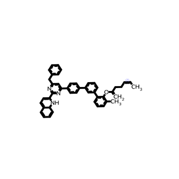 C=C(CC/C=C\C)Oc1c(C)cccc1-c1cccc(-c2ccc(-c3cc(Cc4ccccc4)nc(C4=CC=C5C=CC=CC5N4)n3)cc2)c1